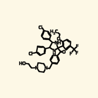 CCOc1ccc(C(F)(F)F)cc1C1(C(=O)c2ccc(CN3CCN(CCO)CC3)cc2)NC(c2ccc(Cl)cc2)C(c2ccc(Cl)cc2)N1